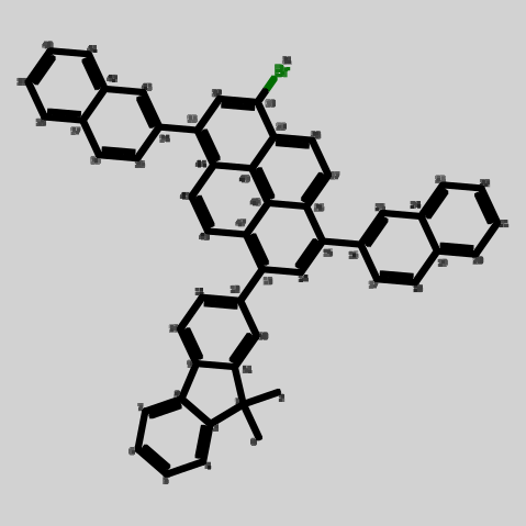 CC1(C)c2ccccc2-c2ccc(-c3cc(-c4ccc5ccccc5c4)c4ccc5c(Br)cc(-c6ccc7ccccc7c6)c6ccc3c4c56)cc21